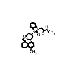 CNC(=O)Cn1c(=O)n(C2CCN([C@]3(C=O)C=CCc4c(C)cccc43)CC2)c2ccccc21